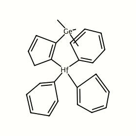 [CH3][Ge]([CH3])([CH3])[C]1=[C]([Hf]([c]2ccccc2)([c]2ccccc2)[c]2ccccc2)CC=C1